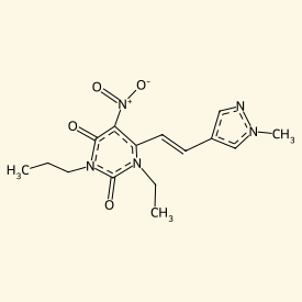 CCCn1c(=O)c([N+](=O)[O-])c(/C=C/c2cnn(C)c2)n(CC)c1=O